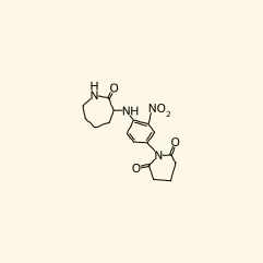 O=C1NCCCCC1Nc1ccc(N2C(=O)CCCC2=O)cc1[N+](=O)[O-]